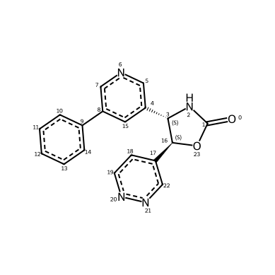 O=C1N[C@@H](c2cncc(-c3ccccc3)c2)[C@H](c2ccnnc2)O1